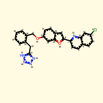 Clc1ccc2ccc(-c3cc4ccc(OCc5ccccc5Cc5nnn[nH]5)cc4o3)nc2c1